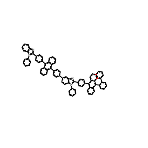 c1ccc(-c2ccccc2-c2c3ccccc3c(-c3ccc(-c4nc5cc(-c6ccc(-c7c8ccccc8c(-c8ccc(-c9nc%10ccccc%10n9-c9ccccc9)cc8)c8ccccc78)cc6)ccc5n4-c4ccccc4)cc3)c3ccccc23)cc1